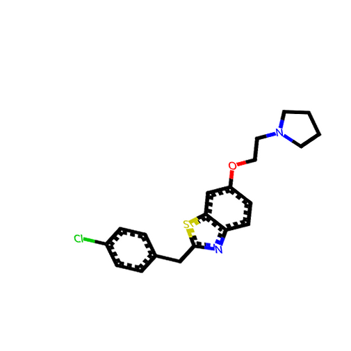 Clc1ccc(Cc2nc3ccc(OCCN4CCCC4)cc3s2)cc1